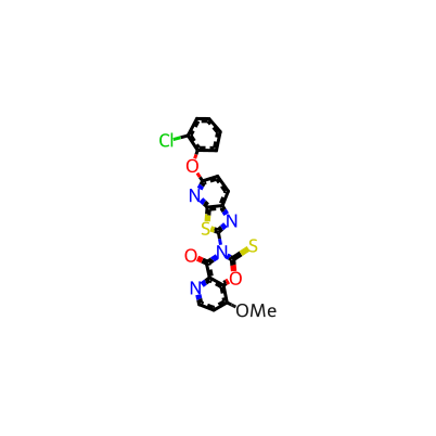 COc1ccnc2c(=O)n(-c3nc4ccc(Oc5ccccc5Cl)nc4s3)c(=S)oc12